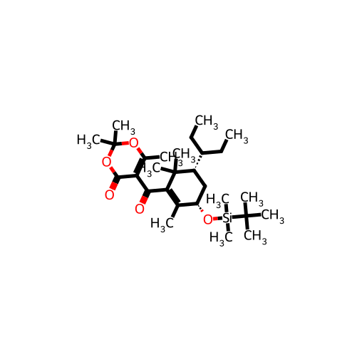 CCC(CC)[C@@H]1C[C@H](O[Si](C)(C)C(C)(C)C)C(C)=C(C(=O)C2=C(C)OC(C)(C)OC2=O)C1(C)C